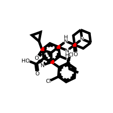 CCOc1cc(C(=O)O)ccc1NC(=O)N1C2CC(NCc3c(-c4c(Cl)cccc4Cl)noc3C3CC3)CC1C2